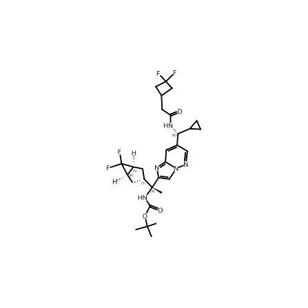 CC(C)(C)OC(=O)N[C@@](C)(c1cn2ncc([C@H](NC(=O)CC3CC(F)(F)C3)C3CC3)cc2n1)[C@@H]1C[C@@H]2[C@H](C1)C2(F)F